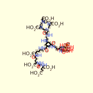 O=C(O)CCC(NC(=O)NC(CCC(=O)NC(CCCCNC(=O)c1cc(NCCNC(=O)CN2CCN(CC(=O)O)CCN(CC(=O)O)CCN(CC(=O)O)CC2)cc(C(=O)NCCc2cn(CC(O)(P(=O)(O)O)P(=O)(O)O)cn2)c1)C(=O)O)C(=O)O)C(=O)O